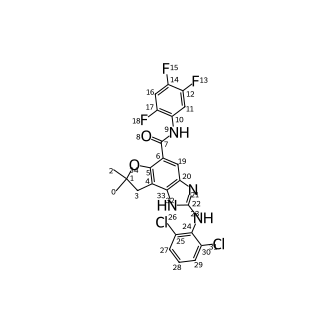 CC1(C)Cc2c(c(C(=O)Nc3cc(F)c(F)cc3F)cc3nc(Nc4c(Cl)cccc4Cl)[nH]c23)O1